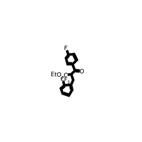 CCOC(=O)C(Cc1ccccc1C(F)(F)F)C(=O)c1ccc(F)cc1